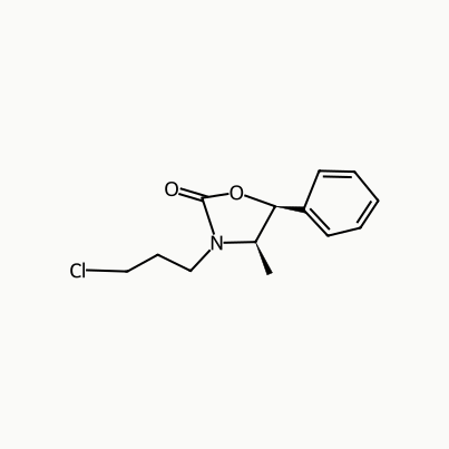 C[C@@H]1[C@H](c2ccccc2)OC(=O)N1CCCCl